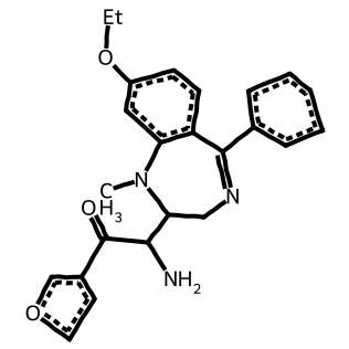 CCOc1ccc2c(c1)N(C)C(C(N)C(=O)c1ccoc1)CN=C2c1ccccc1